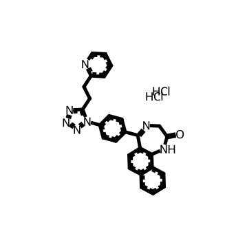 Cl.Cl.O=C1CN=C(c2ccc(-n3nnnc3CCc3ccccn3)cc2)c2ccc3ccccc3c2N1